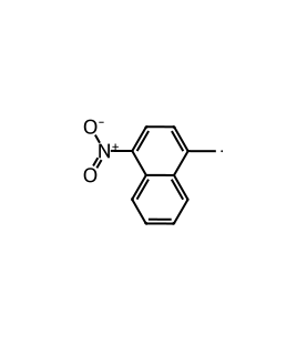 [CH2]c1ccc([N+](=O)[O-])c2ccccc12